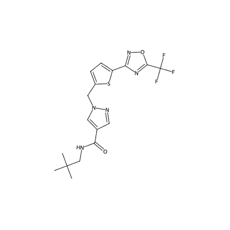 CC(C)(C)CNC(=O)c1cnn(Cc2ccc(-c3noc(C(F)(F)F)n3)s2)c1